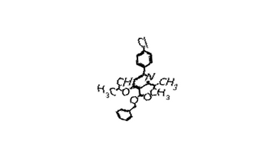 CC(C)Oc1cc(-c2ccc(Cl)cc2)nc(C(C)C)c1C(=O)OCc1ccccc1